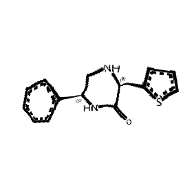 O=C1N[C@@H](c2ccccc2)CN[C@H]1c1cccs1